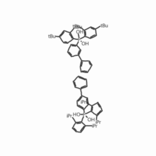 CC(C)(C)c1ccc(P(O)(O)(c2cccc(-c3ccccc3)c2)c2ccc(C(C)(C)C)cc2C(C)(C)C)c(C(C)(C)C)c1.CC(C)c1cccc(C(C)C)c1P(O)(O)(c1ccc(-c2ccccc2)cc1)c1c(C(C)C)cccc1C(C)C